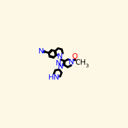 CC(=O)N1CCc2c(c(N3CCCc4cc(C#N)ccc43)nn2C2CCNCC2)C1